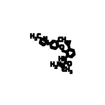 Cc1ccn(-c2ccc(OCc3c(NC(=O)N(C)N)cccc3C3CC3)c(C)c2)n1